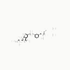 CCOC(=O)CC[C@H](NC(=O)c1cccc(CNCc2cnc3nc(NC(=O)C(C)(C)C)nc(O)c3c2)c1)C(=O)OCC